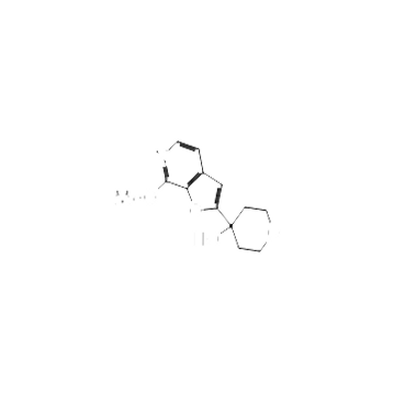 COc1nccc2cc(C3(O)CCOCC3)oc12